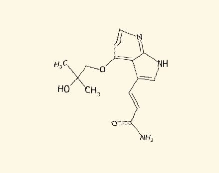 CC(C)(O)COc1ccnc2[nH]cc(C=CC(N)=O)c12